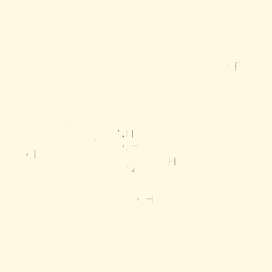 C[Si](C)(C)c1cccc(Cl)c1C(=O)NCc1ccc(C(F)(F)F)cc1